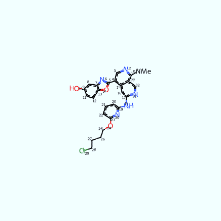 CNc1ncc(-c2nc3cc(O)ccc3o2)c2cc(Nc3cccc(OCCCCCl)n3)ncc12